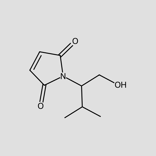 CC(C)C(CO)N1C(=O)C=CC1=O